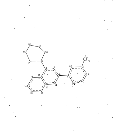 FC(F)(F)c1ccnc(-c2cc(C3CCCCC3)c3ccccc3c2)c1